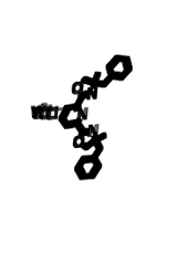 CC1(Cc2ccccc2)COC(c2cccc(C3=NC(C)(Cc4ccccc4)CO3)n2)=N1.[Cl-].[Cl-].[Cl-].[V+3]